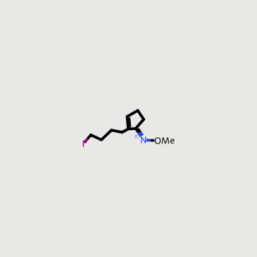 CO/N=C1\CCC=C1CCCCI